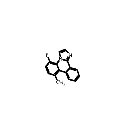 Cc1ccc(F)c2c1c1ccccc1c1nccn12